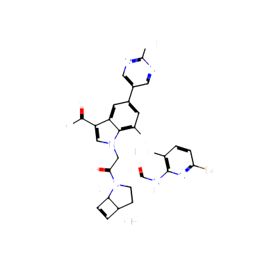 CC(=O)c1cn(CC(=O)N2[C@H](C(=O)Nc3nc(Br)ccc3C)C[C@@]3(C)C=C[C@@H]23)c2c(C)cc(-c3cnc(C)nc3)cc12